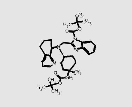 CC(C)(C)OC(=O)N[C@]1(C)CC[C@@H](N(Cc2nc3ccccc3n2C(=O)OC(C)(C)C)C2CCCc3cccnc32)CC1